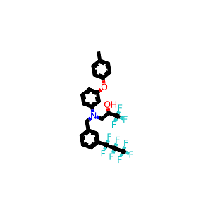 Cc1ccc(Oc2cccc(N(Cc3cccc(C(F)(F)C(F)(F)C(F)(F)F)c3)CC(O)C(F)(F)F)c2)cc1